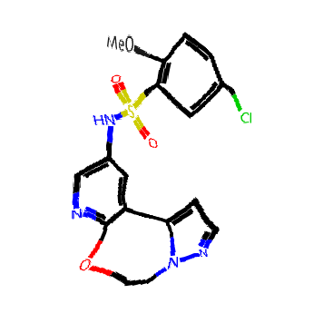 COc1ccc(Cl)cc1S(=O)(=O)Nc1cnc2c(c1)-c1ccnn1CCO2